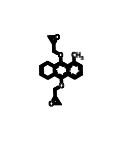 Cc1cccc2c(OCC3CO3)c3c(c(OCC4CO4)c12)CC=CC3